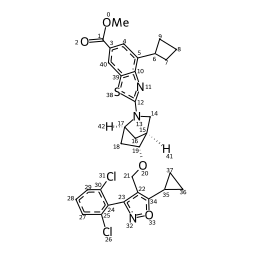 COC(=O)c1cc(C2CCC2)c2nc(N3C[C@@H]4C[C@H]3C[C@H]4OCc3c(-c4c(Cl)cccc4Cl)noc3C3CC3)sc2c1